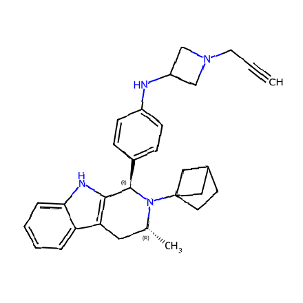 C#CCN1CC(Nc2ccc([C@@H]3c4[nH]c5ccccc5c4C[C@@H](C)N3C34CCC(C3)C4)cc2)C1